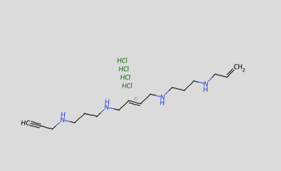 C#CCNCCCNC/C=C/CNCCCNCC=C.Cl.Cl.Cl.Cl